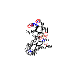 [2H]c1c([2H])c(S(=O)(=O)N([2H])c2c([2H])c3c(c([2H])c2OC([2H])[2H])C([2H])([2H])C([2H])([2H])N([2H])C([2H])([2H])C3([2H])[2H])c([2H])c([2H])c1[N+](=O)[O-]